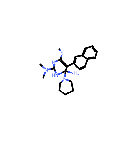 CNC1=C(c2ccc3ccccc3c2)C(N)(N2CCCCC2)NC(N(C)C)=N1